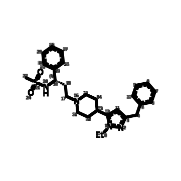 CCn1nc(Cc2ccccc2)cc1C1CCN(CC[C@H](NS(C)(=O)=O)c2ccccc2)CC1